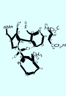 CNCc1cn(S(=O)(=O)c2ncccc2C)c(-c2cccnc2F)c1F.O=C(O)/C=C/C(=O)O